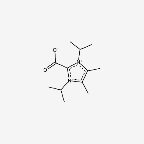 Cc1c(C)[n+](C(C)C)c(C(=O)[O-])n1C(C)C